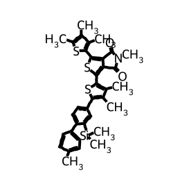 Cc1ccc2c(c1)[Si](C)(C)c1cc(-c3sc(-c4sc(-c5sc(C)c(C)c5C)c5c4C(=O)N(C)C5=O)c(C)c3C)ccc1-2